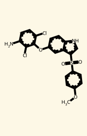 COc1ccc(S(=O)(=O)c2c[nH]c3ccc(Oc4c(Cl)c[c]c(N)c4Cl)cc23)cc1